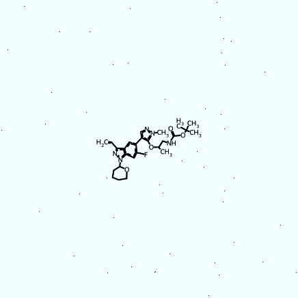 C=Cc1nn(C2CCCCO2)c2cc(F)c(-c3cnn(C)c3OC(C)CNC(=O)OC(C)(C)C)cc12